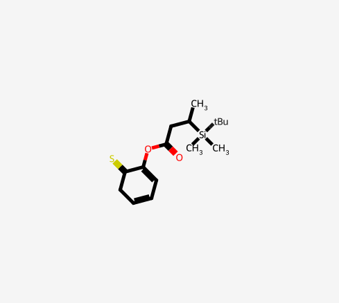 CC(CC(=O)OC1=CC=CCC1=S)[Si](C)(C)C(C)(C)C